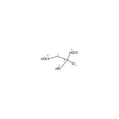 CCCCCCCCCC([O])(CCC)CCCCCCCC